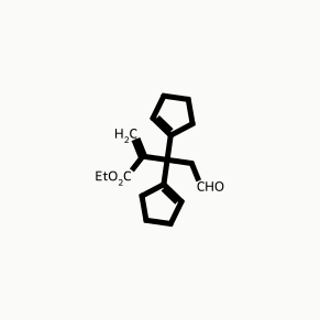 C=C(C(=O)OCC)C(CC=O)(C1=CCCC1)C1=CCCC1